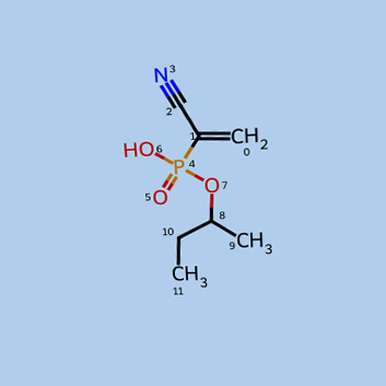 C=C(C#N)P(=O)(O)OC(C)CC